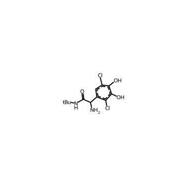 CC(C)(C)NC(=O)C(N)c1cc(Cl)c(O)c(O)c1Cl